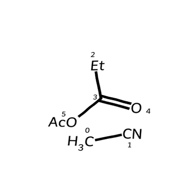 CC#N.CCC(=O)OC(C)=O